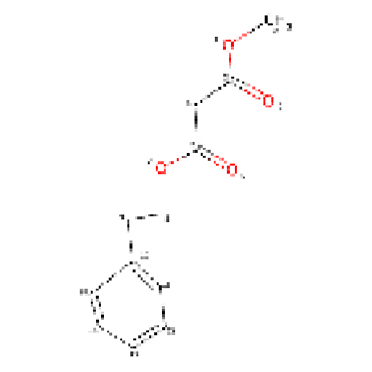 COC(=O)CC(=O)OCCc1ccccc1